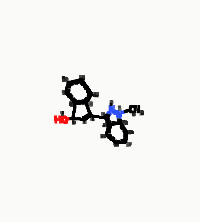 Cn1nc(C2=CC(O)c3ccccc32)c2ccccc21